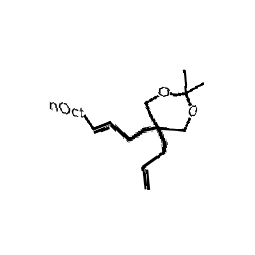 C=CCC1(C/C=C/CCCCCCCC)COC(C)(C)OC1